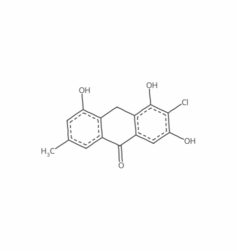 Cc1cc(O)c2c(c1)C(=O)c1cc(O)c(Cl)c(O)c1C2